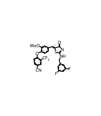 COc1cc(/C=C2\SC(NCc3cc(F)cc(F)c3)=NC2=O)ccc1Oc1ccc(C#N)cc1C(F)(F)F